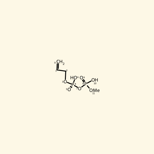 C=CCOP(=O)(O)OP(=O)(O)OC